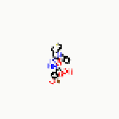 CCCC[C@H](NC(=O)NC(CC(=O)O)c1ccc(OC)c(Br)c1)C(=O)N(Cc1ccccc1)Cc1cccs1